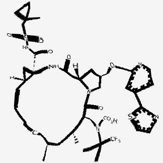 C[C@H]1CC/C=C\[C@@H]2C[C@@]2(C(=O)NS(=O)(=O)C2(C)CC2)NC(=O)[C@@H]2C[C@@H](Oc3cc(-c4nccs4)ccn3)CN2C(=O)[C@@H](N(C(=O)O)C(C)(C)C(F)(F)F)[C@H](C)C1